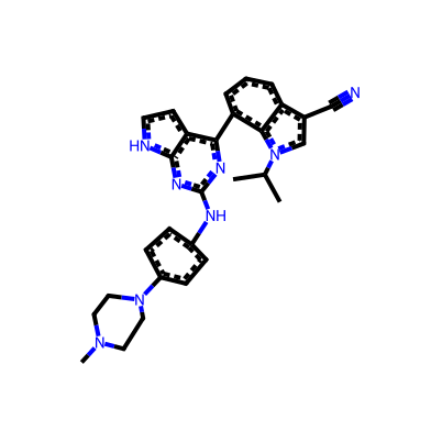 CC(C)n1cc(C#N)c2cccc(-c3nc(Nc4ccc(N5CCN(C)CC5)cc4)nc4[nH]ccc34)c21